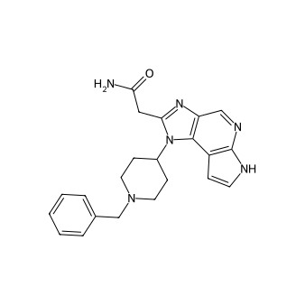 NC(=O)Cc1nc2cnc3[nH]ccc3c2n1C1CCN(Cc2ccccc2)CC1